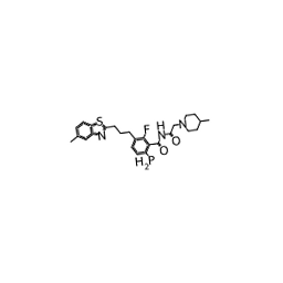 Cc1ccc2sc(CCCc3ccc(P)c(C(=O)NC(=O)CN4CCC(C)CC4)c3F)nc2c1